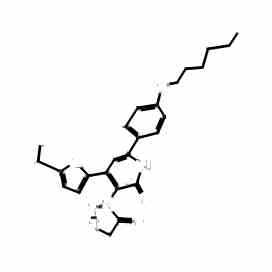 CCCCCCOc1ccc(-c2cc(-c3ccc(CC)s3)c(N3N=NCC3=O)c(=O)[nH]2)cc1